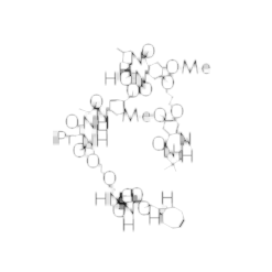 C=C1C[C@H]2[C@H](O)N(C(=O)OCc3ccc(NC(=O)[C@H](C)NC(=O)C(NC(=O)COCCOCCNS(=O)(=O)NC(=O)OCC4[C@H]5CCC#CCC[C@@H]45)C(C)C)cc3)c3cc(OCCCOc4cc5c(cc4OC)C(=O)N4CC(C)(C)C[C@H]4C=N5)c(OC)cc3C(=O)N2C1